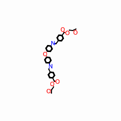 O=C(OCC1CO1)c1ccc(C=Nc2ccc(Oc3ccc(N=Cc4ccc(C(=O)OCC5CO5)cc4)cc3)cc2)cc1